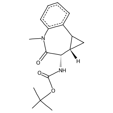 CN1C(=O)[C@@H](NC(=O)OC(C)(C)C)[C@H]2CC2c2ccccc21